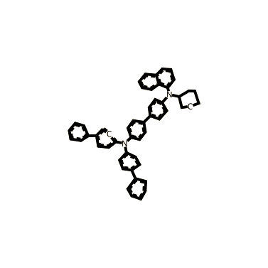 c1ccc(-c2ccc(N(c3ccc(-c4ccccc4)cc3)c3ccc(-c4ccc(N(c5cccc6ccccc56)C5CCCCC5)cc4)cc3)cc2)cc1